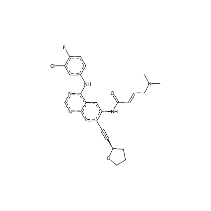 CN(C)C/C=C/C(=O)Nc1cc2c(Nc3ccc(F)c(Cl)c3)ncnc2cc1C#C[C@H]1CCCO1